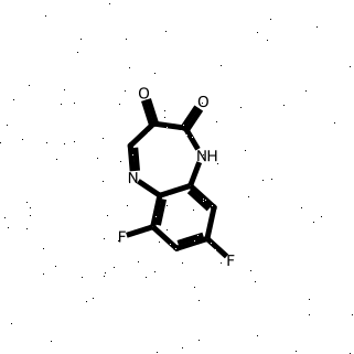 O=c1cnc2c(F)cc(F)cc2[nH]c1=O